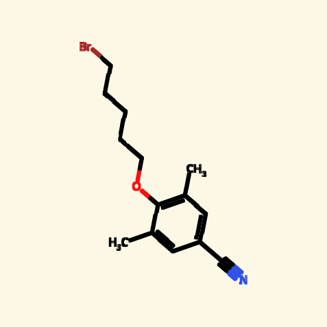 Cc1cc(C#N)cc(C)c1OCCCCCBr